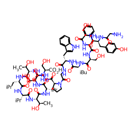 CC[C@H](C)[C@H](NC(=O)[C@H](CO)NC(=O)[C@H](Cc1ccccc1)NC(=O)[C@H](CO)NC(=O)[C@H](Cc1ccc(O)cc1)NC(=O)CN)C(=O)N[C@@H](Cc1c[nH]c2ccccc12)C(=O)NCC(=O)N1CCC[C@H]1C(=O)NCC(=O)N[C@H](C(=O)N[C@@H](CC(C)C)C(=O)N[C@H](C(=O)N[C@H](C(=O)N[C@H](C(=O)N[C@@H](CO)C(=O)N[C@@H](CO)C(=O)O)C(C)C)[C@@H](C)O)C(C)C)[C@@H](C)O